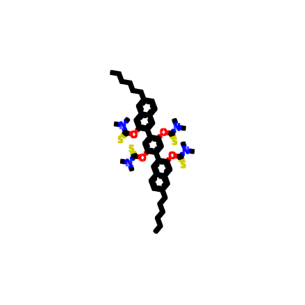 CCCCCCc1ccc2cc(-c3cc(OC(=S)N(C)C)c(-c4cc5ccc(CCCCCC)cc5cc4OC(=S)N(C)C)cc3OC(=S)N(C)C)c(OC(=S)N(C)C)cc2c1